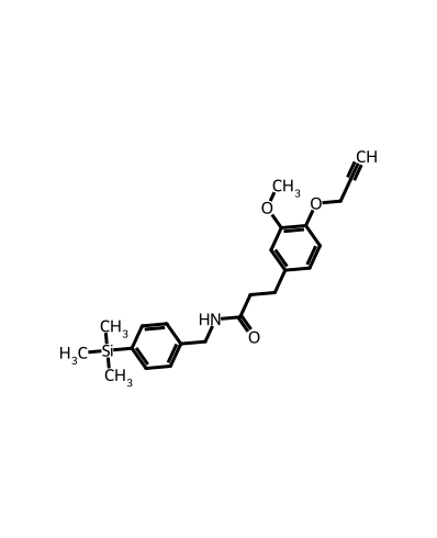 C#CCOc1ccc(CCC(=O)NCc2ccc([Si](C)(C)C)cc2)cc1OC